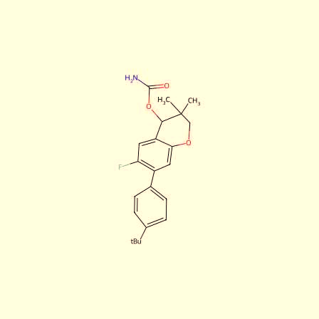 CC(C)(C)c1ccc(-c2cc3c(cc2F)C(OC(N)=O)C(C)(C)CO3)cc1